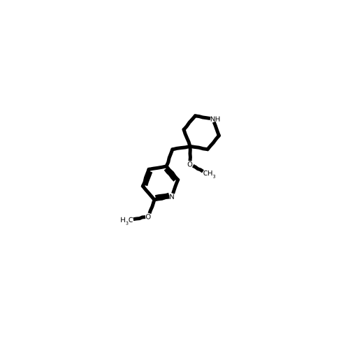 COc1ccc(CC2(OC)CCNCC2)cn1